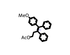 COc1ccc(/C(=C(\CCOC(C)=O)c2ccccc2)c2ccccc2)cc1